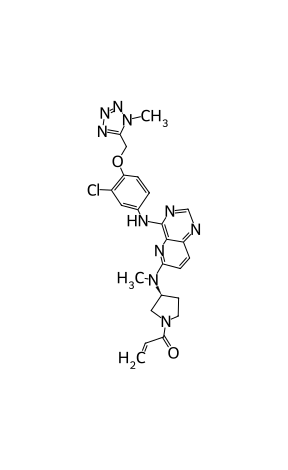 C=CC(=O)N1CC[C@H](N(C)c2ccc3ncnc(Nc4ccc(OCc5nnnn5C)c(Cl)c4)c3n2)C1